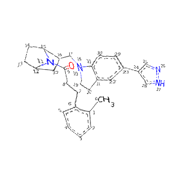 Cc1ccccc1CCC(=O)N1C2CCC1C(CN1CCc3cc(-c4cn[nH]c4)ccc31)C2